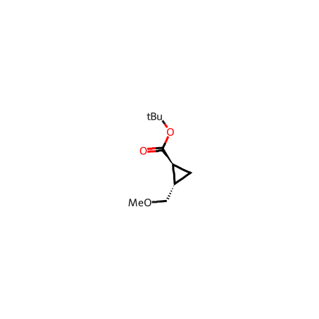 COC[C@H]1C[C@@H]1C(=O)OC(C)(C)C